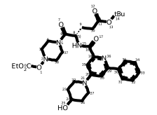 CCOC(=O)ON1CCN(C(=O)[C@H](CCC(=O)OC(C)(C)C)NC(=O)c2cc(N3CCC(O)CC3)cc(-c3ccccc3)n2)CC1